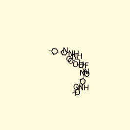 Cc1ccc(-c2ccc(NC(=O)NC(Cc3ccc(-c4noc(-c5ccc(NC(=O)OC(C)(C)C)cc5)n4)c(F)c3)C(=O)O)nc2)cc1